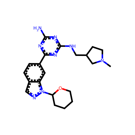 CN1CCC(CNc2nc(N)nc(-c3ccc4cnn(C5CCCCO5)c4c3)n2)C1